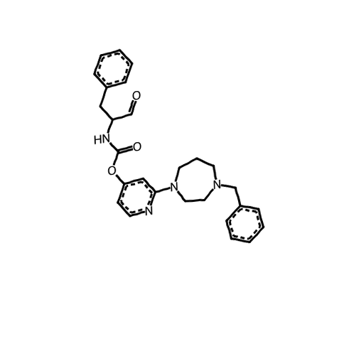 O=CC(Cc1ccccc1)NC(=O)Oc1ccnc(N2CCCN(Cc3ccccc3)CC2)c1